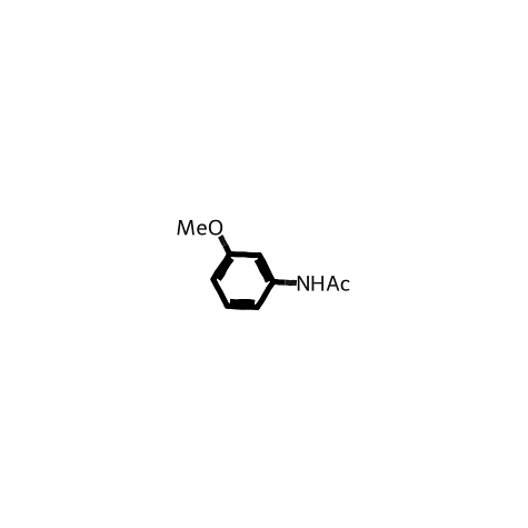 [CH2]C(=O)Nc1cccc(OC)c1